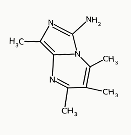 Cc1nc2c(C)nc(N)n2c(C)c1C